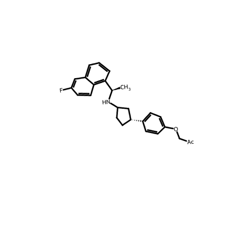 CC(=O)COc1ccc([C@@H]2CCC(N[C@H](C)c3cccc4cc(F)ccc34)C2)cc1